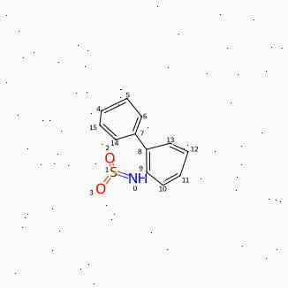 N=S(=O)=O.c1ccc(-c2ccccc2)cc1